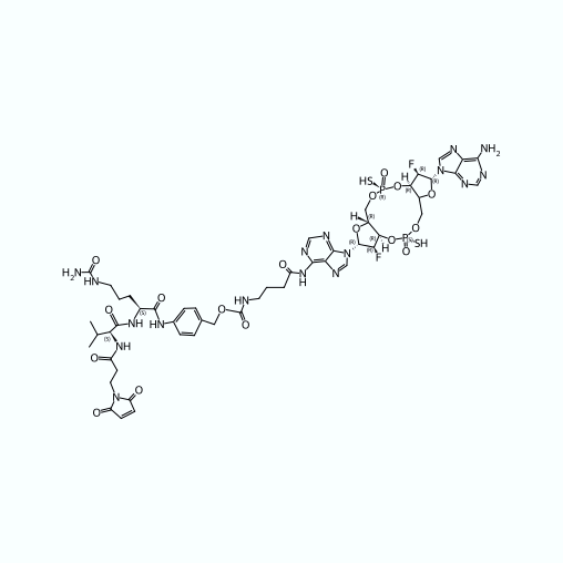 CC(C)[C@H](NC(=O)CCN1C(=O)C=CC1=O)C(=O)N[C@@H](CCCNC(N)=O)C(=O)Nc1ccc(COC(=O)NCCCC(=O)Nc2ncnc3c2ncn3[C@@H]2O[C@@H]3CO[P@@](=O)(S)O[C@@H]4C(CO[P@](=O)(S)O[C@H]3[C@H]2F)O[C@@H](n2cnc3c(N)ncnc32)[C@@H]4F)cc1